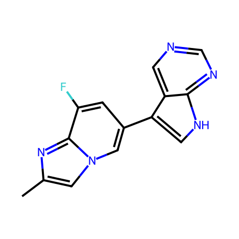 Cc1cn2cc(-c3c[nH]c4ncncc34)cc(F)c2n1